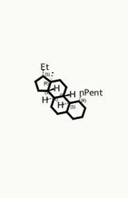 CCCCC[C@@H]1CCCC2CC[C@@H]3[C@H](CC[C@]4(C)[C@@H](CC)CC[C@@H]34)[C@H]21